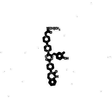 Cc1cc(C[C@@H](OC(=O)N2CCC(N3CCc4ccccc4NC3=O)CC2)C(=O)N2CCN(C3CCN(CC(=O)N(C)O)CC3)CC2)ccc1O